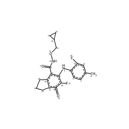 Cc1ccc(Nc2c(C(=O)NOCC3CC3)c3n(c(=O)c2F)CCC3)c(F)c1